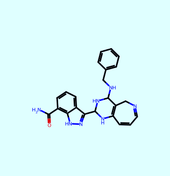 NC(=O)c1cccc2c(C3NC4=C(CN=CC=C4)C(NCc4ccccc4)N3)n[nH]c12